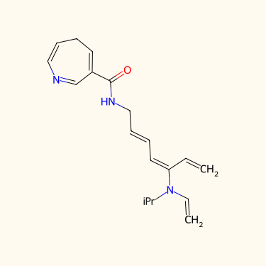 C=C/C(=C\C=C\CNC(=O)C1=CCC=CN=C1)N(C=C)C(C)C